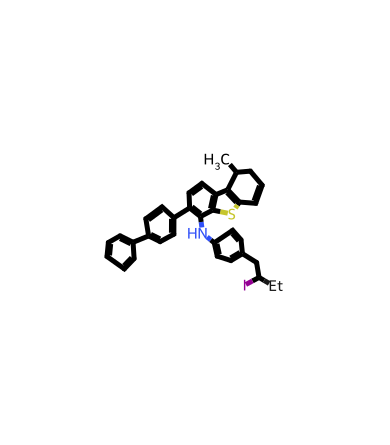 CCC(I)Cc1ccc(Nc2c(-c3ccc(-c4ccccc4)cc3)ccc3c4c(sc23)C=CCC4C)cc1